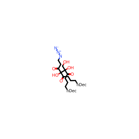 CCCCCCCCCCCCCC(=O)C(O)(CO)C(O)(C(=O)CCCCCCCCCCCCC)C(=O)CCN=[N+]=[N-]